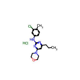 CCCc1cc(N2CCOCC2)nc(Nc2ccc(C)c(Cl)c2)n1.Cl